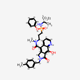 CCOC(=O)[C@H](C)NP(=O)(CCCN(C)C(=O)c1c2c(c(O)c3ncccc13)C(=O)N(Cc1ccc(C)cc1)C2)Oc1ccccc1